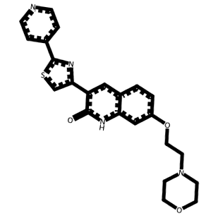 O=c1[nH]c2cc(OCCN3CCOCC3)ccc2cc1-c1csc(-c2ccncc2)n1